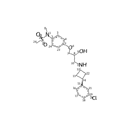 CN(c1ccc(OCC(O)CN[C@H]2C[C@H](c3cccc(Cl)c3)C2)cc1)S(C)(=O)=O